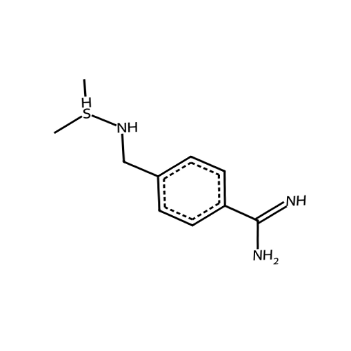 C[SH](C)NCc1ccc(C(=N)N)cc1